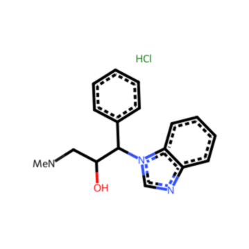 CNCC(O)C(c1ccccc1)n1cnc2ccccc21.Cl